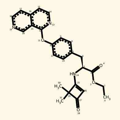 CCOC(=O)[C@H](Cc1ccc(Oc2nccc3ccncc23)cc1)NC1=CC(=O)C1(C)C